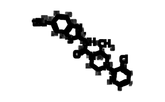 C[C@@H]1CN(c2ncccc2Cl)CCN1C(=O)Nc1nc2ccc(C(C)(C)C)cc2s1